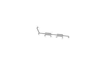 CC#CC#CCC